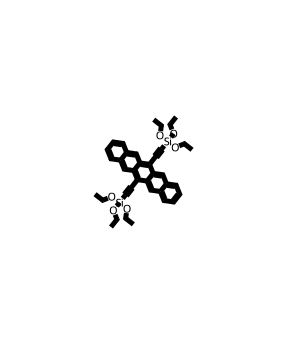 CCO[Si](C#Cc1c2cc3ccccc3cc2c(C#C[Si](OCC)(OCC)OCC)c2cc3ccccc3cc12)(OCC)OCC